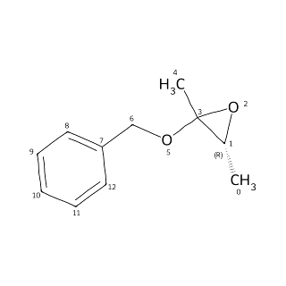 C[C@H]1OC1(C)OCc1ccccc1